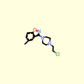 Cc1ccc2onc(N3CCN(CCCl)CC3)c2c1